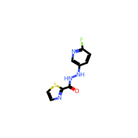 O=C(NNc1ccc(F)nc1)c1nccs1